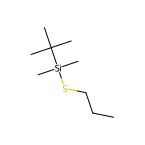 CCCS[Si](C)(C)C(C)(C)C